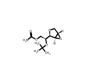 CC(C)(C)O[C@@H](COC(N)=O)[C@H]1OC[C@@H]2O[C@@H]12